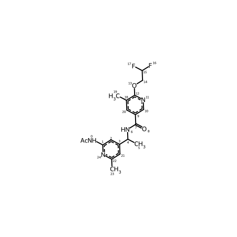 CC(=O)Nc1cc(C(C)NC(=O)c2cnc(OCC(F)F)c(C)c2)cc(C)n1